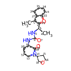 Cc1c([C@@H](C)NC(=O)Nc2cccn(C3CCOC3)c2=O)oc2ccccc12